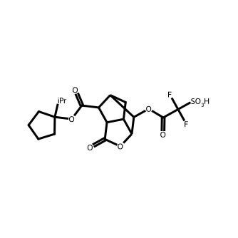 CC(C)C1(OC(=O)C2C3CC4C(OC(=O)C42)C3OC(=O)C(F)(F)S(=O)(=O)O)CCCC1